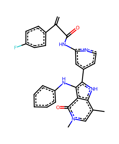 C=C(C(=O)Nc1cc(-c2[nH]c3c(C)cn(C)c(=O)c3c2Nc2ccccc2)ccn1)c1ccc(F)cc1